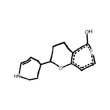 Oc1cccc2c1CCC(C1C=CNCC1)O2